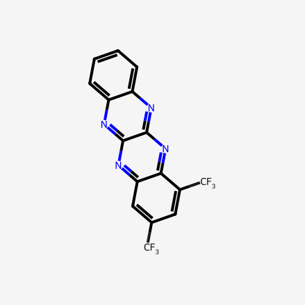 FC(F)(F)c1cc(C(F)(F)F)c2nc3nc4ccccc4nc3nc2c1